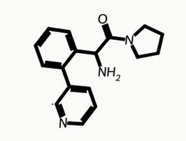 NC(C(=O)N1CCCC1)c1ccccc1-c1[c]nccc1